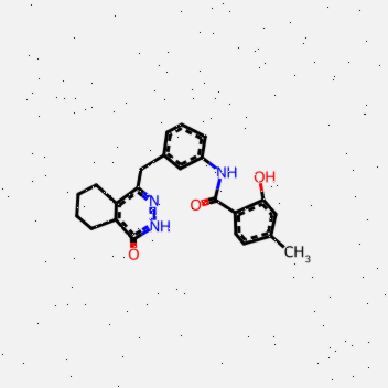 Cc1ccc(C(=O)Nc2cccc(Cc3n[nH]c(=O)c4c3CCCC4)c2)c(O)c1